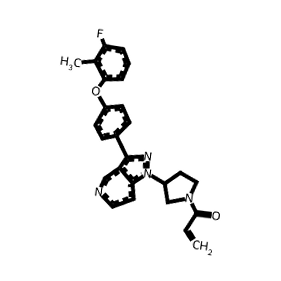 C=CC(=O)N1CCC(n2nc(-c3ccc(Oc4cccc(F)c4C)cc3)c3cnccc32)C1